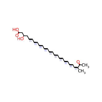 CC(=O)\C(C)=C/C=C/C=C/C=C/C=C/C=C/C=C/C=C/C=C/C=C/CC(O)CC(=O)O